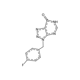 O=c1[nH]cnc2c1nnn2Cc1ccc(F)cc1